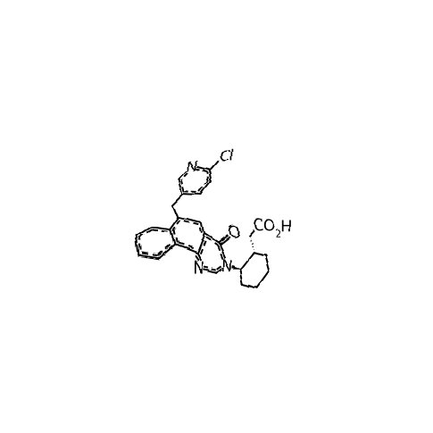 O=C(O)C[C@@H]1CCCC[C@H]1n1cnc2c(cc(Cc3ccc(Cl)nc3)c3ccccc32)c1=O